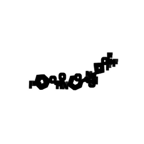 O=C(COc1ccc(F)cc1)N[C@H]1CC[C@H](c2nc([C@H]3C[C@@H](OC(F)(F)F)C3)no2)OC1